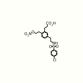 O=C(O)CCc1cc(CCNS(=O)(=O)c2ccc(Cl)cc2)ccc1CCO[N+](=O)[O-]